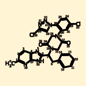 Cc1ccc2nc(C(Cc3ccccc3)N3CC(=O)N(c4cc(Cl)ccc4-n4cc(Cl)nn4)CC3=O)[nH]c2n1